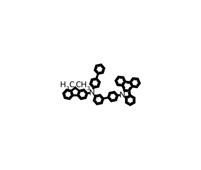 CC1(C)c2ccccc2-c2ccc(N(c3ccc(-c4ccccc4)cc3)c3cccc(-c4ccc(-n5c6ccccc6c6c7ccccc7c7ccccc7c65)cc4)c3)cc21